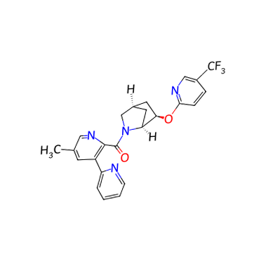 Cc1cnc(C(=O)N2C[C@H]3C[C@@H](Oc4ccc(C(F)(F)F)cn4)[C@@H]2C3)c(-c2ccccn2)c1